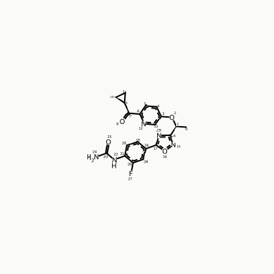 CC(Oc1ccc(C(=O)C2CC2)nc1)c1noc(-c2ccc(NC(N)=O)c(F)c2)n1